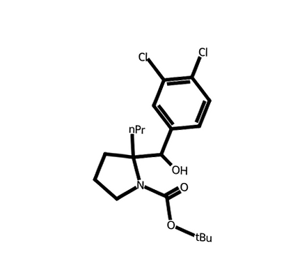 CCCC1(C(O)c2ccc(Cl)c(Cl)c2)CCCN1C(=O)OC(C)(C)C